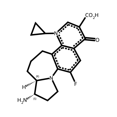 N[C@H]1CCN2c3c(F)cc4c(=O)c(C(=O)O)cn(C5CC5)c4c3CCC[C@H]12